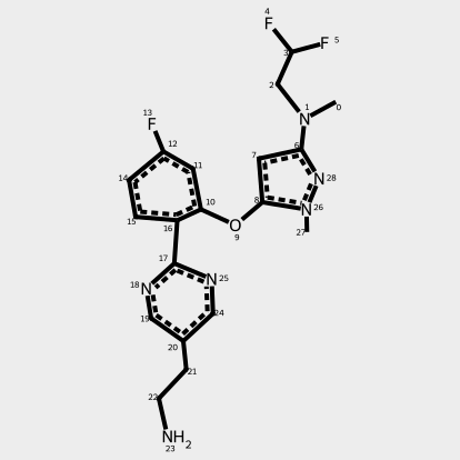 CN(CC(F)F)c1cc(Oc2cc(F)ccc2-c2ncc(CCN)cn2)n(C)n1